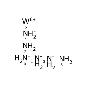 [NH2-].[NH2-].[NH2-].[NH2-].[NH2-].[NH2-].[W+6]